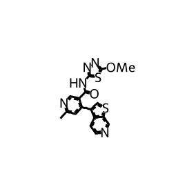 COc1nnc(NC(=O)c2cnc(C)cc2-c2csc3cnccc23)s1